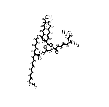 CCCCCCCCCCC(CCCCCC)C(=O)OCC(COC(=O)CCCCN(C)CCC)OC(=O)C(CCCCCC)CCCCCCCCC